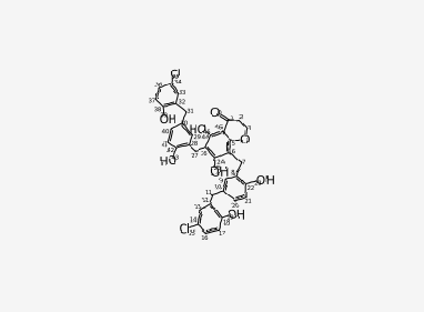 O=C1CCOc2c(Cc3cc(Cc4cc(Cl)ccc4O)ccc3O)c(O)c(Cc3cc(Cc4cc(Cl)ccc4O)ccc3O)c(O)c21